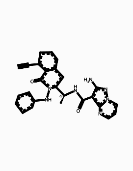 C#Cc1cccc2cc([C@H](C)NC(=O)c3c(N)nn4cccnc34)n(Nc3ccccc3)c(=O)c12